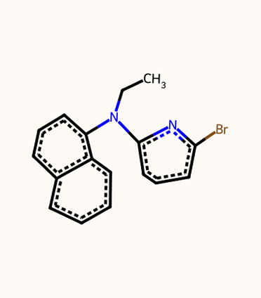 CCN(c1cccc(Br)n1)c1cccc2ccccc12